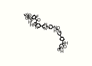 CCN(C)S(=O)(=O)Nc1ccc(F)c(C(=O)c2c[nH]c3ncc(-c4cnc(N5CCC(NCC(=O)N6CCC(c7ccc(NC8CCC(=O)NC8=O)cc7)CC6)CC5)nc4)cc23)c1F